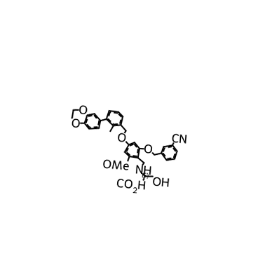 COc1cc(OCc2cccc(-c3ccc4c(c3)OCCO4)c2C)cc(OCc2cccc(C#N)c2)c1CN[C@@H](CO)C(=O)O